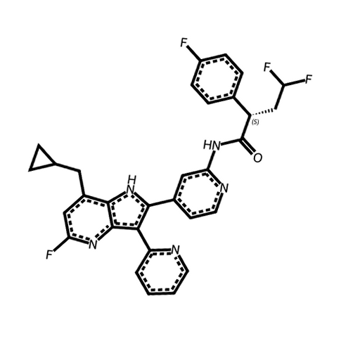 O=C(Nc1cc(-c2[nH]c3c(CC4CC4)cc(F)nc3c2-c2ccccn2)ccn1)[C@@H](CC(F)F)c1ccc(F)cc1